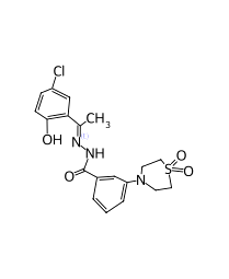 C/C(=N\NC(=O)c1cccc(N2CCS(=O)(=O)CC2)c1)c1cc(Cl)ccc1O